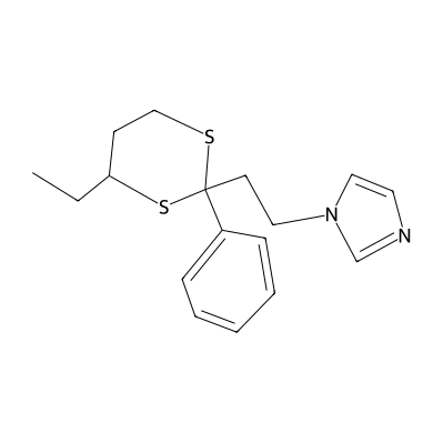 CCC1CCSC(CCn2ccnc2)(c2ccccc2)S1